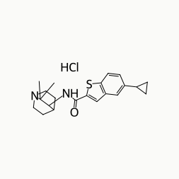 CC1(C)C(NC(=O)c2cc3cc(C4CC4)ccc3s2)C2CCN1CC2.Cl